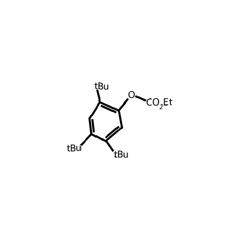 CCOC(=O)Oc1cc(C(C)(C)C)c(C(C)(C)C)cc1C(C)(C)C